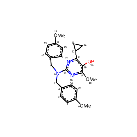 COc1ccc(CN(Cc2ccc(OC)cc2)c2nc(OC)c(O)c(C3CC3)n2)cc1